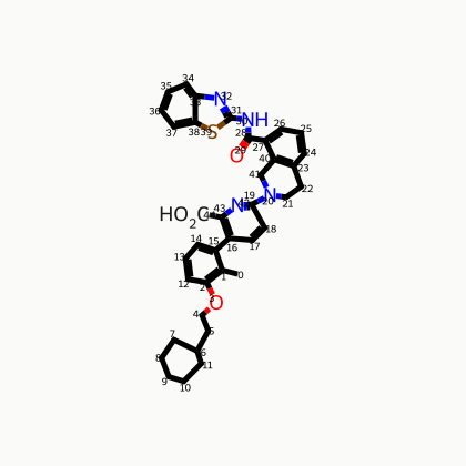 Cc1c(OCCC2CCCCC2)cccc1-c1ccc(N2CCc3cccc(C(=O)Nc4nc5ccccc5s4)c3C2)nc1C(=O)O